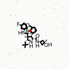 CC(C)(C)C[C@H]1N[C@@H](C(=O)N[C@H]2C[C@@](C)(O)C2)[C@H](c2cccc(Cl)c2F)[C@@]1(C)C(=O)Nc1cccc(F)c1